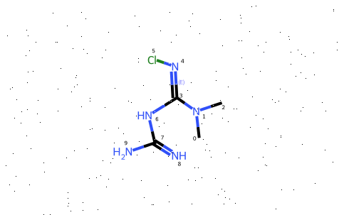 CN(C)/C(=N/Cl)NC(=N)N